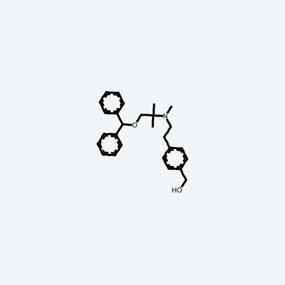 CN(CCc1ccc(CO)cc1)C(C)(C)COC(c1ccccc1)c1ccccc1